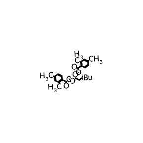 [CH2]CC(C)C[C](OOC(=O)c1ccc(C)cc1C)OOC(=O)c1ccc(C)cc1C